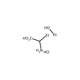 CCC(N)C(=O)O.CCO.Cl